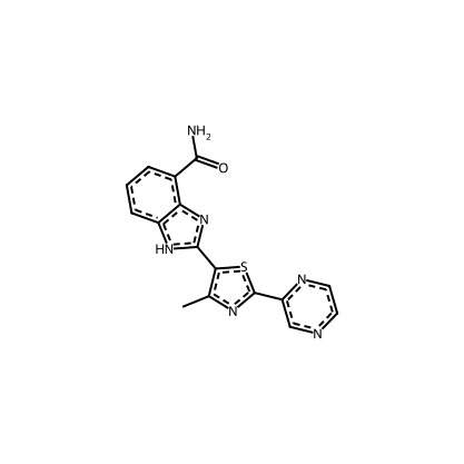 Cc1nc(-c2cnccn2)sc1-c1nc2c(C(N)=O)cccc2[nH]1